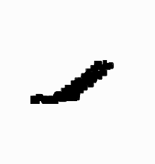 C=C[C@H]1CC[C@H](c2ccc(-c3ccc(-c4ccc(COCCCCC)cc4F)cc3)cc2)CC1